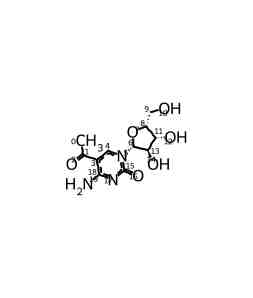 CC(=O)c1cn([C@@H]2O[C@H](CO)[C@H](O)[C@H]2O)c(=O)nc1N